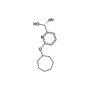 CCC[C@@H](O)c1cccc(OC2CCCCCC2)n1